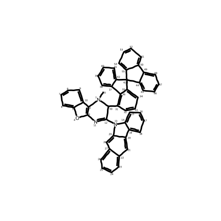 CN1c2c(oc3ccccc23)N=C(n2c3ccccc3c3cc4ccccc4cc32)C1c1cccc2c1-c1ccccc1C21c2ccccc2-c2ccccc21